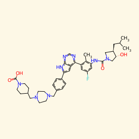 Cc1c(NC(=O)N2C[C@@H](CC(C)C)[C@H](O)C2)cc(F)cc1-c1ncnc2[nH]c(-c3ccc(CN4CCN(CC5CCN(C(=O)O)CC5)CC4)cc3)cc12